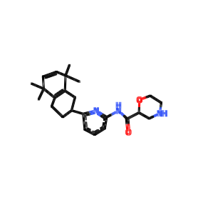 CC1(C)C=CC(C)(C)C2=C1CCC(c1cccc(NC(=O)C3CNCCO3)n1)C2